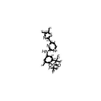 Cc1cc(Nc2nccc(-c3nc(C)c(C)s3)n2)cc(C(F)(F)S(=O)(=O)C(F)(F)F)c1